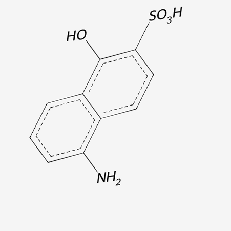 Nc1cccc2c(O)c(S(=O)(=O)O)ccc12